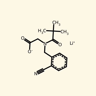 CC(C)(C)C(=O)N(CC(=O)[O-])Cc1ccccc1C#N.[Li+]